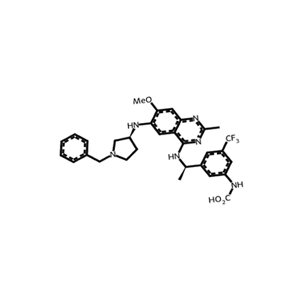 COc1cc2nc(C)nc(N[C@H](C)c3cc(NC(=O)O)cc(C(F)(F)F)c3)c2cc1N[C@H]1CCN(Cc2ccccc2)C1